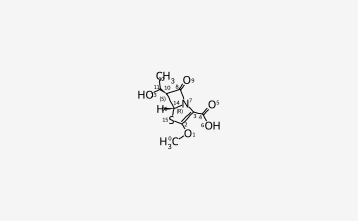 COC1=C(C(=O)O)N2C(=O)[C@H](C(C)O)[C@H]2S1